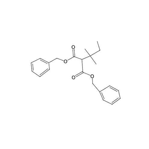 CCC(C)(C)C(C(=O)OCc1ccccc1)C(=O)OCc1ccccc1